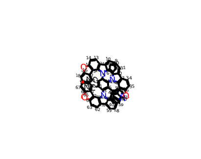 N#Cc1c(C#N)c(-n2c3ccccc3c3ccc4oc5ccccc5c4c32)c(-n2c3ccccc3c3ccc4oc5ccccc5c4c32)c(-c2ccncc2)c1-n1c2ccccc2c2ccc3oc4ccccc4c3c21